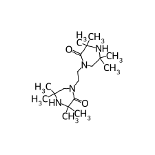 CC1(C)CN(CCN2CC(C)(C)NC(C)(C)C2=O)C(=O)C(C)(C)N1